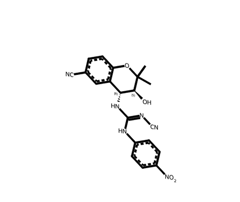 CC1(C)Oc2ccc(C#N)cc2[C@@H](NC(=NC#N)Nc2ccc([N+](=O)[O-])cc2)[C@@H]1O